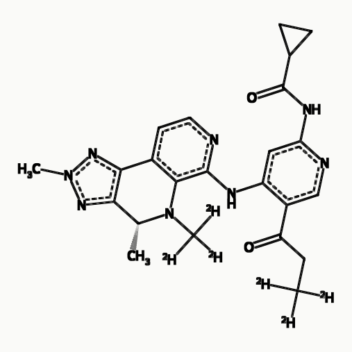 [2H]C([2H])([2H])CC(=O)c1cnc(NC(=O)C2CC2)cc1Nc1nccc2c1N(C([2H])([2H])[2H])[C@H](C)c1nn(C)nc1-2